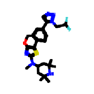 CN(c1nc2c(s1)-c1ccc(-c3cnnn3CC(F)F)cc1CO2)C1CC(C)(C)NC(C)(C)C1